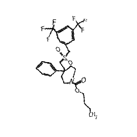 CCCCOC(=O)N1CCC(CS(=O)(=O)Cc2cc(C(F)(F)F)cc(C(F)(F)F)c2)(c2ccccc2)CC1